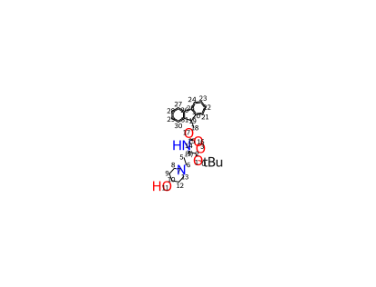 CC(C)(C)OC(=O)[C@H](CCN1CCC(O)CC1)NC(=O)OCC1c2ccccc2-c2ccccc21